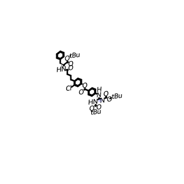 CC(C)(C)OC(=O)/N=C(/NC(=O)OC(C)(C)C)Nc1ccc(C(=O)Oc2ccc(CCCC(=O)N[C@@H](Cc3ccccc3)C(=O)OC(C)(C)C)c(Cl)c2)cc1